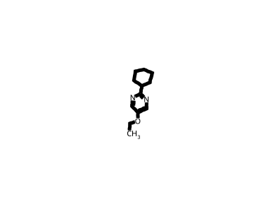 CCOc1cnc(C2CCCCC2)nc1